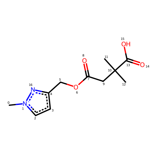 Cn1ccc(COC(=O)CC(C)(C)C(=O)O)n1